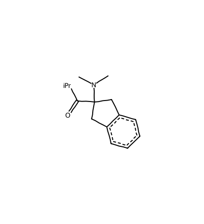 CC(C)C(=O)C1(N(C)C)Cc2ccccc2C1